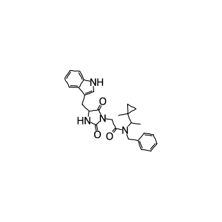 CC(N(Cc1ccccc1)C(=O)CN1C(=O)NC(Cc2c[nH]c3ccccc23)C1=O)C1(C)CC1